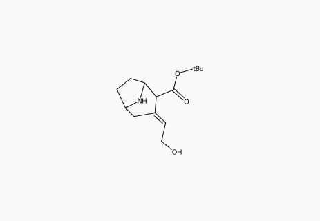 CC(C)(C)OC(=O)C1C(=CCO)CC2CCC1N2